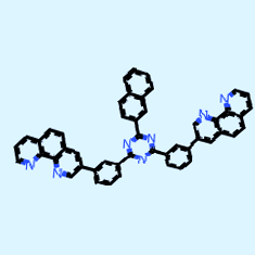 c1cc(-c2cnc3c(ccc4cccnc43)c2)cc(-c2nc(-c3cccc(-c4cnc5c(ccc6cccnc65)c4)c3)nc(-c3ccc4ccccc4c3)n2)c1